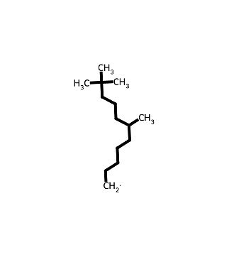 [CH2]CCCCC(C)CCCC(C)(C)C